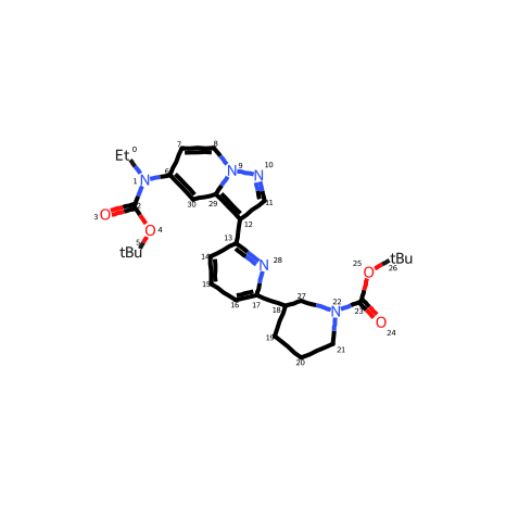 CCN(C(=O)OC(C)(C)C)c1ccn2ncc(-c3cccc(C4CCCN(C(=O)OC(C)(C)C)C4)n3)c2c1